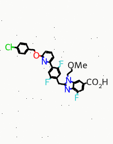 COCCn1c(Cc2cc(F)c(-c3cccc(OCc4ccc(Cl)cc4)n3)cc2F)nc2c(F)cc(C(=O)O)cc21